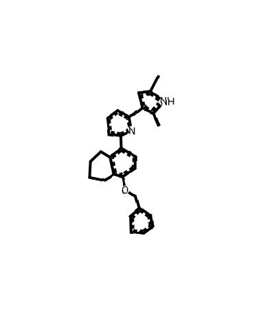 Cc1cc(-c2cccc(-c3ccc(OCc4ccccc4)c4c3CCCC4)n2)c(C)[nH]1